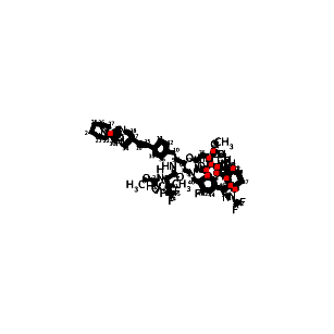 COC(=O)N[C@H](C(=O)N[C@@H](Cc1ccc(C#Cc2cnc(N3CC4CCC(C3)N4C3COC3)nc2)cc1)[C@H](CN(Cc1c(F)cc(-c2ccn(C(F)F)n2)cc1F)NC(=O)[C@@H](NC(=O)OC)C(C)(C)C(F)(F)F)OC(=O)CN(C)C(=O)[C@@H](N)Cc1ccccc1)C(C)(C)C(F)(F)F